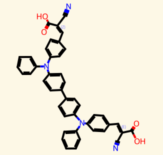 N#C/C(=C/c1ccc(N(c2ccccc2)c2ccc(-c3ccc(N(c4ccccc4)c4ccc(/C=C(\C#N)C(=O)O)cc4)cc3)cc2)cc1)C(=O)O